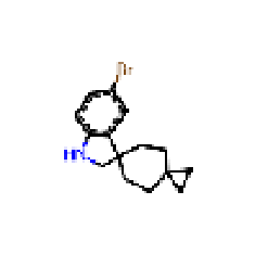 Brc1ccc2c(c1)C1(CCC3(CC3)CC1)CN2